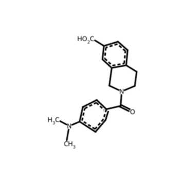 CN(C)c1ccc(C(=O)N2CCc3ccc(C(=O)O)cc3C2)cc1